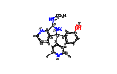 Cc1cc(C2(c3cccc(O)c3)NC(NC(=O)O)c3ncccc32)cc(C)n1